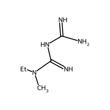 CCN(C)C(=N)NC(=N)N